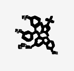 CC1=[C]([Zr+2](=[C](c2cccc(C(F)(F)F)c2)c2cccc(C(F)(F)F)c2)[c]2cc(C(C)(C)C)cc3c2Cc2ccc(C(C)(C)C)cc2-3)C(C)C=C1[Si](C)(C)C.[Cl-].[Cl-]